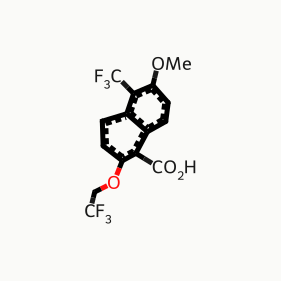 COc1ccc2c(C(=O)O)c(OCC(F)(F)F)ccc2c1C(F)(F)F